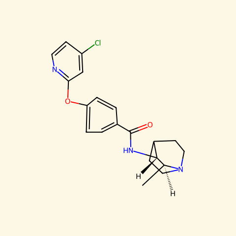 C[C@H]1[C@H](NC(=O)c2ccc(Oc3cc(Cl)ccn3)cc2)C2CCN1CC2